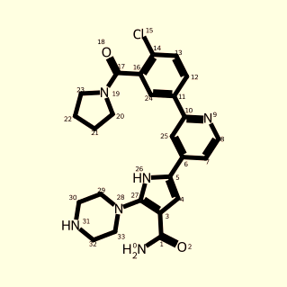 NC(=O)c1cc(-c2ccnc(-c3ccc(Cl)c(C(=O)N4CCCC4)c3)c2)[nH]c1N1CCNCC1